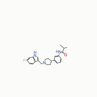 CC(C)C(=O)Nc1cccc(C2CCN(Cc3c[nH]c4cc(F)ccc34)CC2)c1